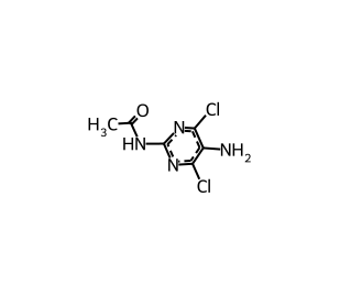 CC(=O)Nc1nc(Cl)c(N)c(Cl)n1